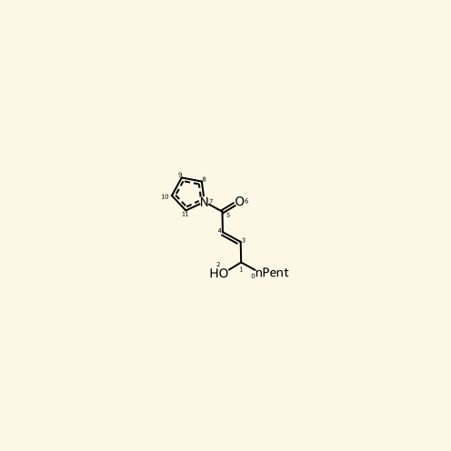 CCCCCC(O)C=CC(=O)n1cccc1